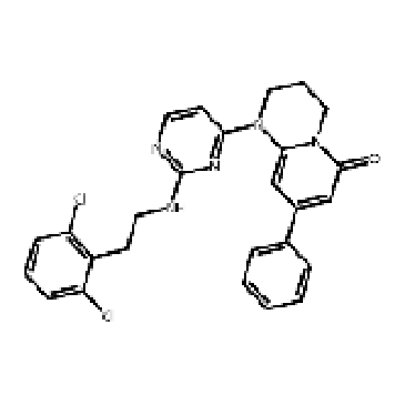 O=c1cc(-c2ccccc2)cc2n1CCCN2c1ccnc(NCCc2c(Cl)cccc2Cl)n1